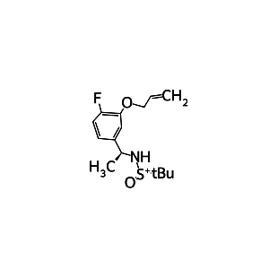 C=CCOc1cc([C@H](C)N[S+]([O-])C(C)(C)C)ccc1F